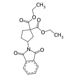 CCOC(=O)C1(C(=O)OCC)CCC(N2C(=O)c3ccccc3C2=O)C1